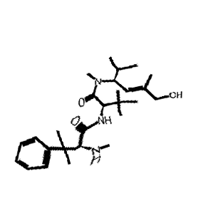 CN[C@H](C(=O)N[C@@H](C(=O)N(C)[C@H](/C=C(\C)CO)C(C)C)C(C)(C)C)C(C)(C)c1ccccc1